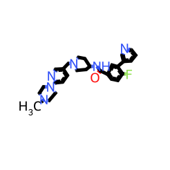 CN1CCN(c2ccc(CN3CCC(NC(=O)c4ccc(F)c(-c5cccnc5)c4)CC3)cn2)CC1